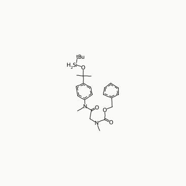 CN(CC(=O)N(C)c1ccc(C(C)(C)O[SiH2]C(C)(C)C)cc1)C(=O)OCc1ccccc1